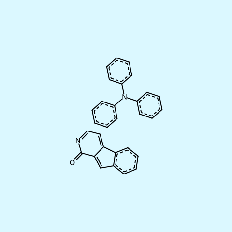 O=C1N=CC=C2C1=Cc1ccccc12.c1ccc(N(c2ccccc2)c2ccccc2)cc1